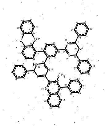 C[n+]1c(C2=CC(c3ccccc3)NC(c3cc(C4=NC(c5ccccc5)NC(c5ccccc5)=N4)ccc3-c3cccc4c3Oc3ccccc3O4)=N2)nc2ccccc2c1-c1ccccc1